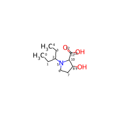 CCC(CC)N1CCC(O)C1C(=O)O